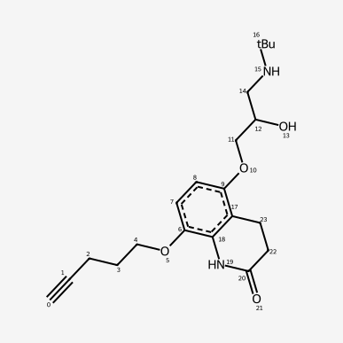 C#CCCCOc1ccc(OCC(O)CNC(C)(C)C)c2c1NC(=O)CC2